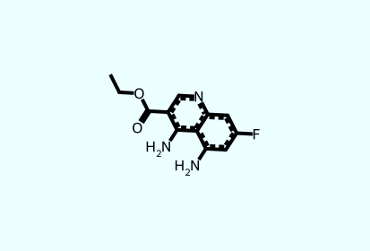 CCOC(=O)c1cnc2cc(F)cc(N)c2c1N